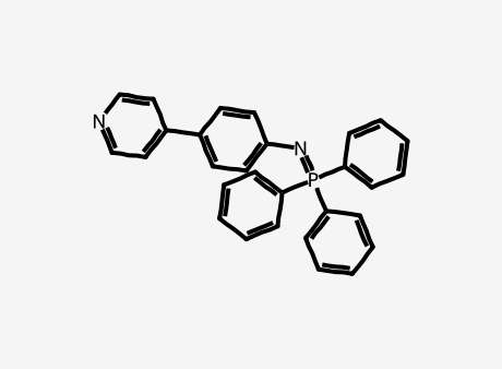 c1ccc(P(=Nc2ccc(-c3ccncc3)cc2)(c2ccccc2)c2ccccc2)cc1